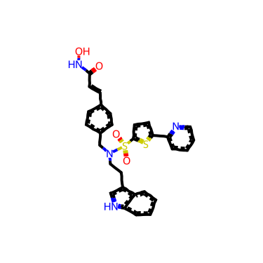 O=C(/C=C/c1ccc(CN(CCc2c[nH]c3ccccc23)S(=O)(=O)c2ccc(-c3ccccn3)s2)cc1)NO